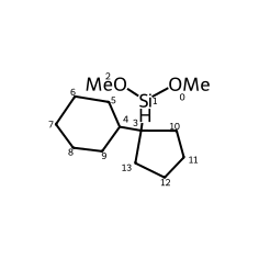 CO[SiH](OC)C1(C2CCCCC2)CCCC1